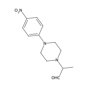 CC(C=O)N1CCN(c2ccc([N+](=O)[O-])cc2)CC1